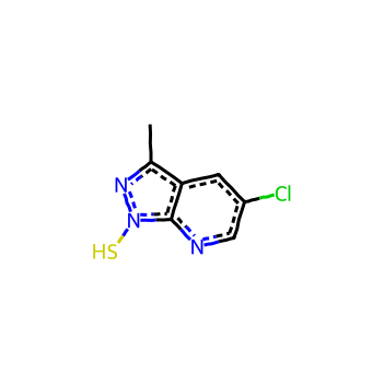 Cc1nn(S)c2ncc(Cl)cc12